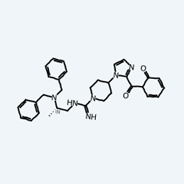 C[C@@H](CNC(=N)N1CCC(n2ccnc2C(=O)C2C=CC=CC2=O)CC1)N(Cc1ccccc1)Cc1ccccc1